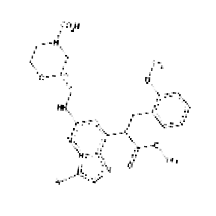 CC(C)c1cnc2c(N(Cc3ccccc3OC(F)(F)F)C(=O)OC(C)(C)C)cc(NC[C@H]3CN(C(=O)O)CCO3)nn12